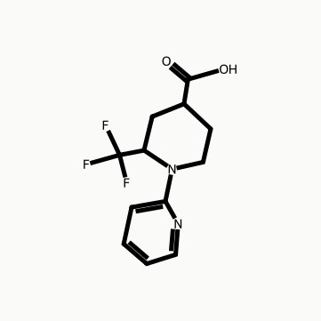 O=C(O)C1CCN(c2ccccn2)C(C(F)(F)F)C1